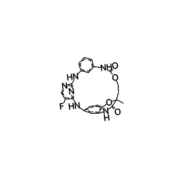 CC12CCOC(=O)Nc3cccc(c3)Nc3ncc(F)c(n3)Nc3ccc(c(c3)NC1=O)O2